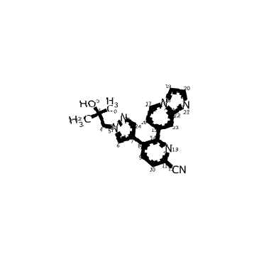 CC(C)(O)Cn1cc(-c2ccc(C#N)nc2-c2ccn3ccnc3c2)cn1